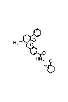 C[C@H]1CCC(c2ccccc2)S(=O)(=O)N1Cc1ccc(C(=O)NCCN2CCCCC2=O)cc1